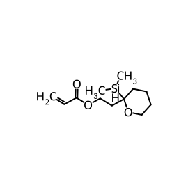 C=CC(=O)OCCC1([SiH](C)C)CCCCO1